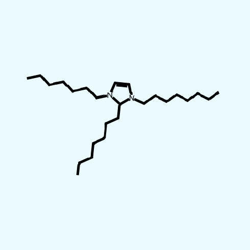 CCCCCCCCN1C=CN(CCCCCCC)C1CCCCCCC